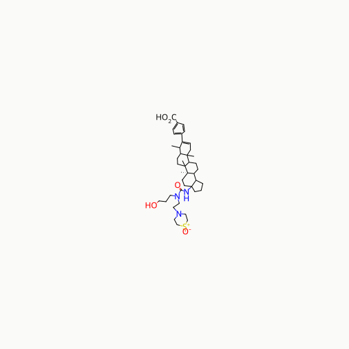 CC1C(c2ccc(C(=O)O)cc2)=CCC2(C)C1CCC1(C)C2CCC2C3CCCC3(NC(=O)N(CCCO)CCN3CC[S+]([O-])CC3)CC[C@]21C